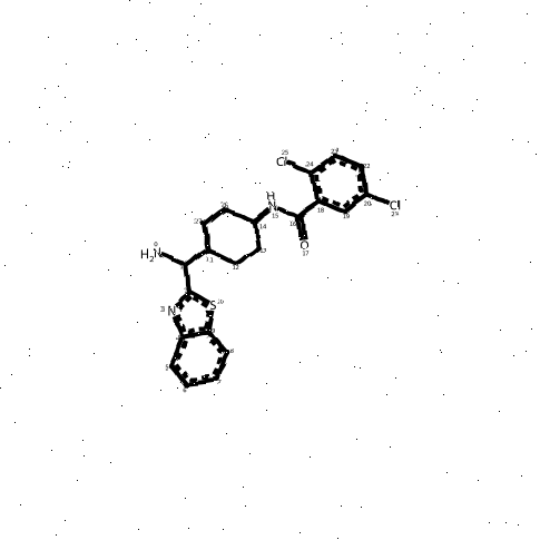 NC(c1nc2ccccc2s1)C1CCC(NC(=O)c2cc(Cl)ccc2Cl)CC1